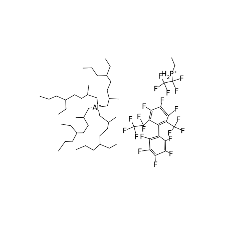 CCCC(CC)CCC(C)[CH2][Al-]([CH2]C(C)CCC(CC)CCC)([CH2]C(C)CCC(CC)CCC)[CH2]C(C)CCC(CC)CCC.CC[PH2+]C(F)(F)C(F)(F)F.Fc1c(F)c(F)c(-c2c(C(F)(F)F)c(F)c(F)c(F)c2C(F)(F)C(F)(F)F)c(F)c1F